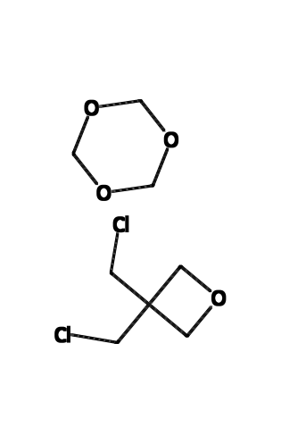 C1OCOCO1.ClCC1(CCl)COC1